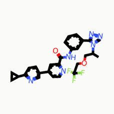 CC(COCC(F)(F)F)n1cnnc1-c1cccc(NC(=O)c2cc(-c3ccc(C4CC4)nc3)ccn2)c1